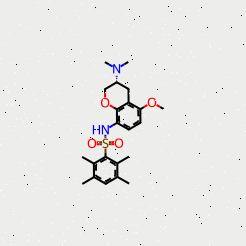 COc1ccc(NS(=O)(=O)c2c(C)c(C)cc(C)c2C)c2c1C[C@@H](N(C)C)CO2